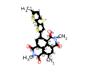 Cc1cc2sc3cc(-c4cc5c6c(c(C)cc7c6c4C(=O)N(C)C7=O)C(=O)N(C)C5=O)sc3c2s1